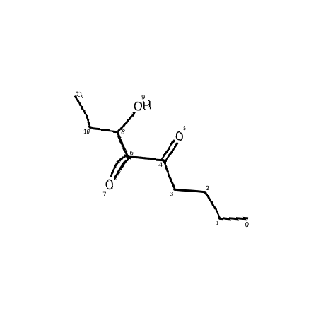 CCCCC(=O)C(=O)C(O)CC